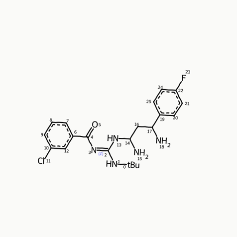 CC(C)(C)N/C(=N/C(=O)c1cccc(Cl)c1)NC(N)CC(N)c1ccc(F)cc1